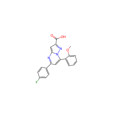 COc1ccccc1-c1cc(-c2ccc(F)cc2)nc2cc(C(=O)O)nn12